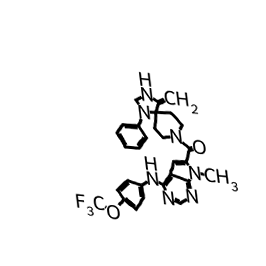 C=C1NCN(c2ccccc2)C12CCN(C(=O)c1cc3c(Nc4ccc(OC(F)(F)F)cc4)ncnc3n1C)CC2